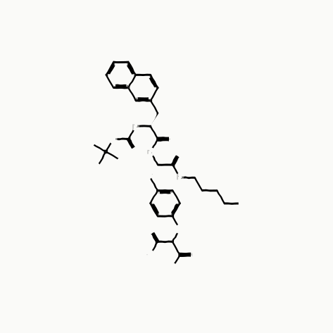 CCCCCNC(=O)[C@H](Cc1ccc(OC(C(=O)O)C(=O)O)cc1)NC(=O)[C@H](Cc1ccc2ccccc2c1)NC(=O)OC(C)(C)C